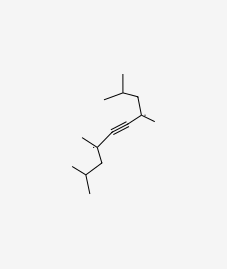 C[C](C#C[C](C)CC(C)C)CC(C)C